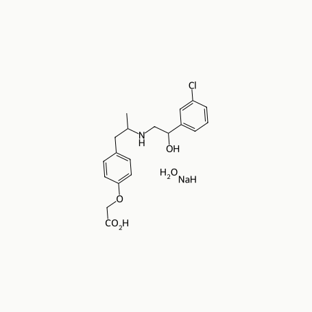 CC(Cc1ccc(OCC(=O)O)cc1)NCC(O)c1cccc(Cl)c1.O.[NaH]